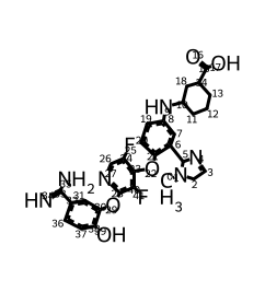 CN1CC=NC1c1cc(NC2CCCC(C(=O)O)C2)ccc1Oc1c(F)cnc(Oc2cc(C(=N)N)ccc2O)c1F